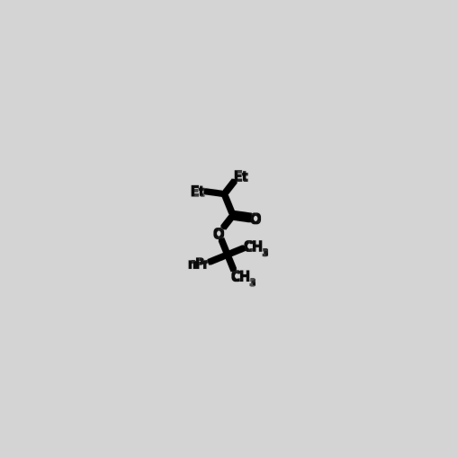 CCCC(C)(C)OC(=O)C(CC)CC